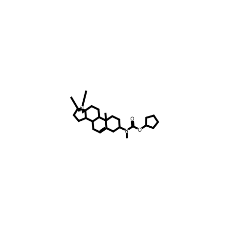 CC1C2CCC3C4CC=C5CC(N(C)C(=O)OC6CCCC6)CCC5(C)C4CCC32CN1C